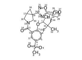 CC(Oc1ccc(S(C)(=O)=O)cc1C(=O)N1CC2CC2(c2noc(C3(C)COC3)n2)C1)C(C)(F)F